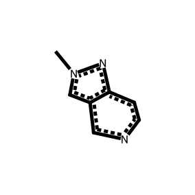 Cn1cc2cnccc2n1